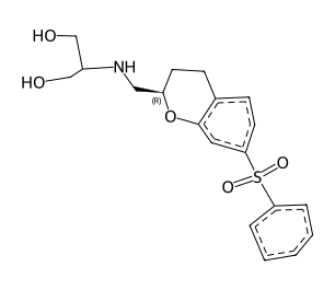 O=S(=O)(c1ccccc1)c1ccc2c(c1)O[C@@H](CNC(CO)CO)CC2